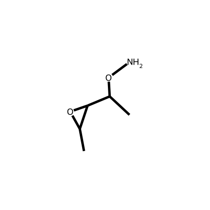 CC(ON)C1OC1C